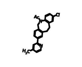 CC(=O)N1Cc2ccc(-c3cc(C)ccn3)cc2CCc2cc(Cl)ccc21